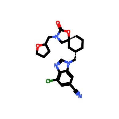 N#Cc1cc(Cl)c2ncn(C[C@H]3CCC[C@]4(C3)CN(CC3CCCO3)C(=O)O4)c2c1